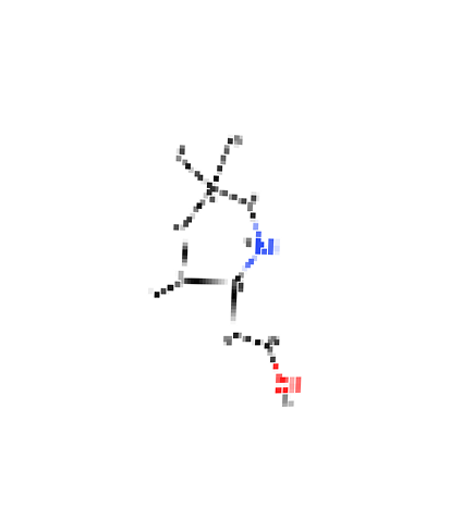 CC1CC(C)(C)CNC1CCO